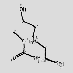 COC(N)=O.OCCNCCO